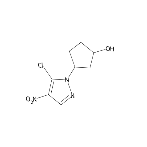 O=[N+]([O-])c1cnn(C2CCC(O)C2)c1Cl